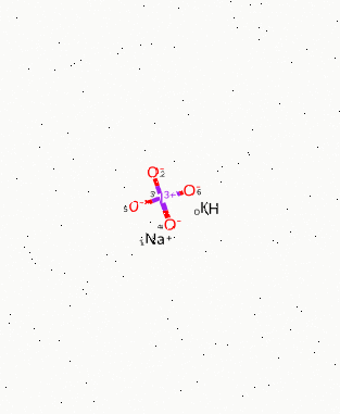 [KH].[Na+].[O-][I+3]([O-])([O-])[O-]